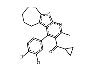 Cc1nc2sc3c(c2c(-c2ccc(Cl)c(Cl)c2)c1C(=O)C1CC1)CCCCC3